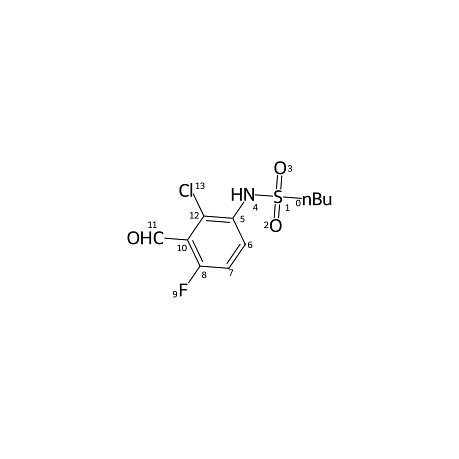 CCCCS(=O)(=O)Nc1ccc(F)c(C=O)c1Cl